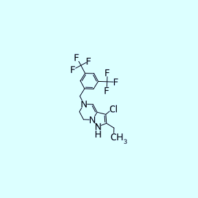 CCC1=C(Cl)C2=CN(Cc3cc(C(F)(F)F)cc(C(F)(F)F)c3)CCN2N1